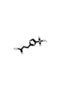 CS(=O)(=O)c1csc([CH]CC(N)=O)n1